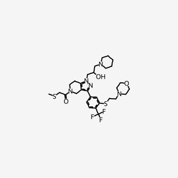 CSCC(=O)N1CCc2c(c(-c3ccc(C(F)(F)F)c(SCCN4CCOCC4)c3)nn2CC(O)CN2CCCCC2)C1